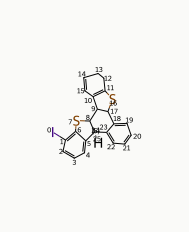 Ic1cccc2c1SC1C3C4=C(CCC=C4)SC3c3ccccc3[C@@H]21